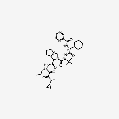 CCC[C@H](NC(=O)C1C2CCC[C@H]2CN1C(=O)[C@H](NC(=O)[C@H](NC(=O)c1cnccn1)C1CCCCC1)C(C)(C)C)C(=O)C(=O)NC1CC1